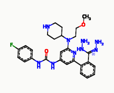 COCCN(c1cc(NC(=O)Nc2ccc(F)cc2)cc(-c2ccccc2/C(=N/N)NN)n1)C1CCNCC1